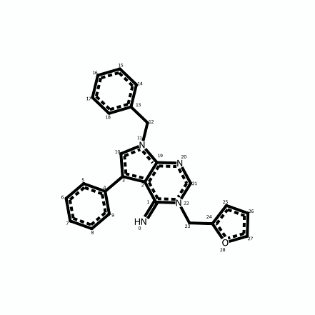 N=c1c2c(-c3ccccc3)cn(Cc3ccccc3)c2ncn1Cc1ccco1